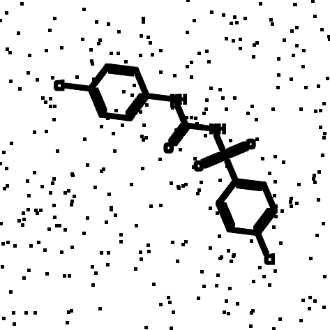 O=C(Nc1ccc(Cl)cc1)NS(=O)(=O)c1ccc(Cl)cc1